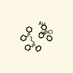 Cl[PH](c1ccccc1)(c1ccccc1)c1ccccc1.[Au].c1ccc(P(CCCP(c2ccccc2)c2ccccc2)c2ccccc2)cc1